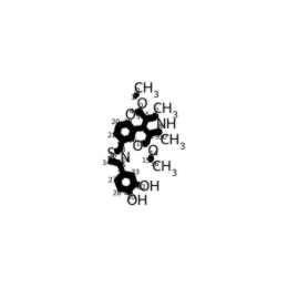 CCOC(=O)C1=C(C)NC(C)=C(C(=O)OCC)C1c1cccc(-c2nc(-c3ccc(O)c(O)c3)cs2)c1